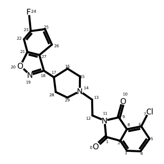 O=C1c2cccc(Cl)c2C(=O)N1CCN1CCC(c2noc3cc(F)ccc23)CC1